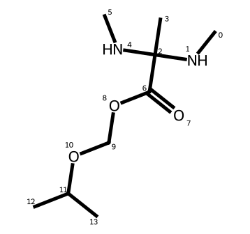 CNC(C)(NC)C(=O)OCOC(C)C